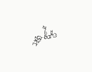 CN(c1nccc(-c2cc3cnc(NC4CCOCC4)cc3n2COCC[Si](C)(C)C)n1)C(F)C(F)F